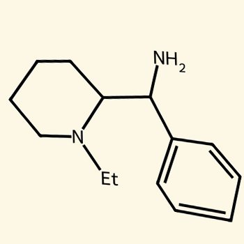 CCN1CCCCC1C(N)c1ccccc1